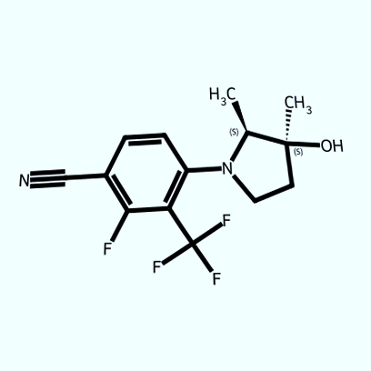 C[C@@H]1N(c2ccc(C#N)c(F)c2C(F)(F)F)CC[C@]1(C)O